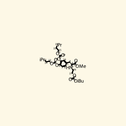 COC(=O)[C@H](Cc1ccc(OC(=O)OCCC(C)C)c(OC(=O)OCCC(C)C)c1)NCCOC(=O)OCC(C)C